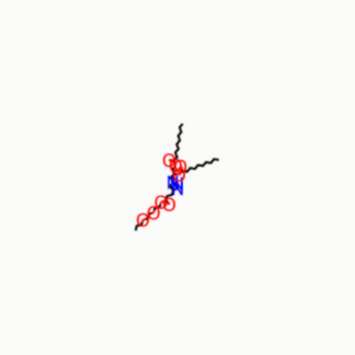 CCCCCCCCCC(=O)OCC(Cn1cc(CCC(=O)OCCOCCOCCC)nn1)OC(=O)CCCCCCCCC